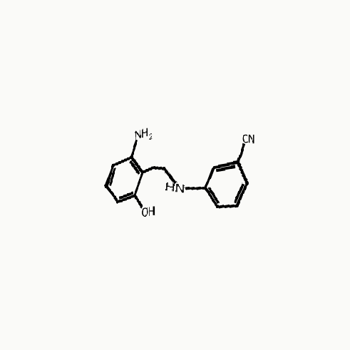 N#Cc1cccc(NCc2c(N)cccc2O)c1